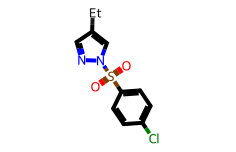 CCc1cnn(S(=O)(=O)c2ccc(Cl)cc2)c1